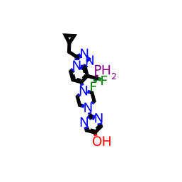 Oc1cnc(N2CCN(c3ccn4c(CC5CC5)nnc4c3C(F)(F)P)CC2)nc1